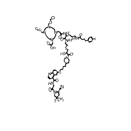 CC1(F)C[C@H](C#N)N(C(=O)CNC(=O)c2ccnc3ccc(OCCCCC4CCN(C(=O)[C@H](O)CSCCNC(=O)[C@H](CCCNC(=O)CCCc5ccc(I)cc5)NC(=O)CN5CCN(COC=O)CCN(COC=O)CCN(CC(=O)O)CC5)CC4)cc23)C1